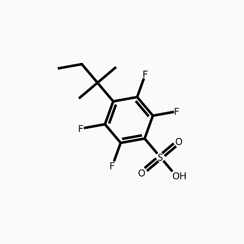 CCC(C)(C)c1c(F)c(F)c(S(=O)(=O)O)c(F)c1F